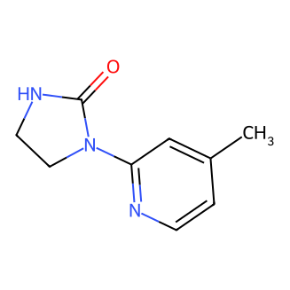 Cc1ccnc(N2CCNC2=O)c1